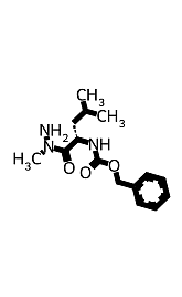 CC(C)C[C@H](NC(=O)OCc1ccccc1)C(=O)N(C)N